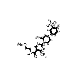 COCCN(C)C(=O)c1cnc(N2CCN(c3ccc(F)c(S(C)(=O)=O)c3)CC2C(C)C)nc1C(F)(F)F